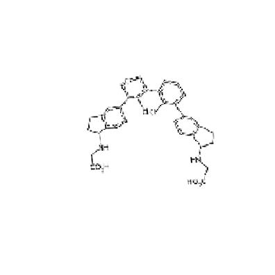 O=C(O)CNC1CCc2cc(-c3cccc(-c4cccc(-c5ccc6c(c5)CCC6NCC(=O)O)c4Cl)c3Cl)ccc21